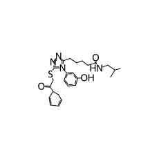 CC(C)CNC(=O)CCCCc1nnc(SCC(=O)C2C=CC=CC2)n1-c1cccc(O)c1